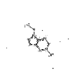 CC(C)Cn1ccc2nc(C(C)C)cnc21